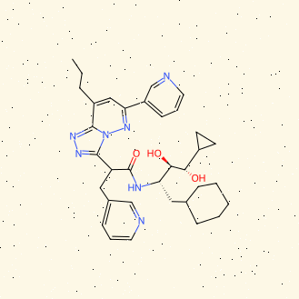 CCCc1cc(-c2cccnc2)nn2c(C(Cc3cccnc3)C(=O)N[C@@H](CC3CCCCC3)[C@@H](O)[C@@H](O)C3CC3)nnc12